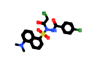 CN(C)c1cccc2c(S(=O)(=O)N(NC(=O)c3ccc(Cl)cc3)C(=O)CCl)cccc12